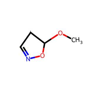 COC1[CH]C=NO1